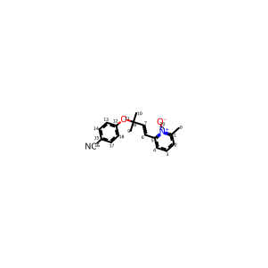 Cc1cccc(C=CC(C)(C)Oc2ccc(C#N)cc2)[n+]1[O-]